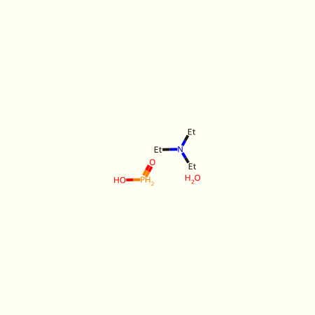 CCN(CC)CC.O.O=[PH2]O